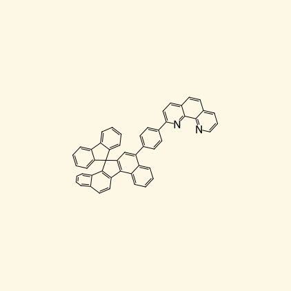 c1ccc2c(c1)-c1ccccc1C21c2cc(-c3ccc(-c4ccc5ccc6cccnc6c5n4)cc3)c3ccccc3c2-c2ccc3ccccc3c21